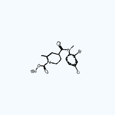 CC1CC(C(=O)N(C)c2ccc(Cl)cc2Br)CCN1C(=O)OC(C)(C)C